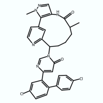 CC1CCCC(n2cnc(-c3cc(Cl)ccc3-c3ccc(Cl)cc3)cc2=O)c2cc(ccn2)-c2c(cnn2C)NC1=O